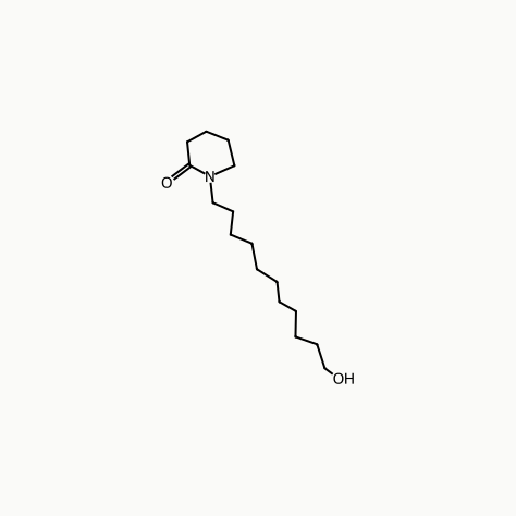 O=C1CCCCN1CCCCCCCCCCCO